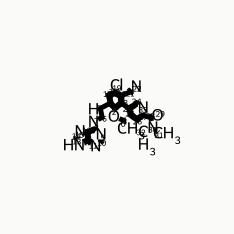 CCOc1c(CCNc2ncnc3[nH]cnc23)cc(Cl)c(C#N)c1-c1ccc(C(=O)N(C)C)nc1